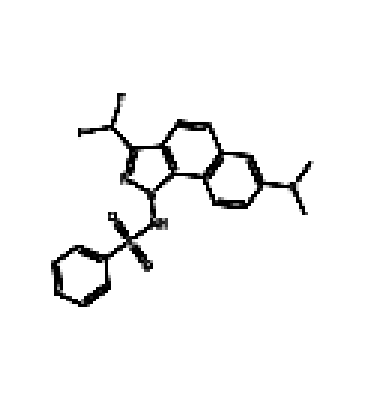 CN(C)c1ccc2c(ccc3c(C(F)F)nn(NS(=O)(=O)c4ccccc4)c32)c1